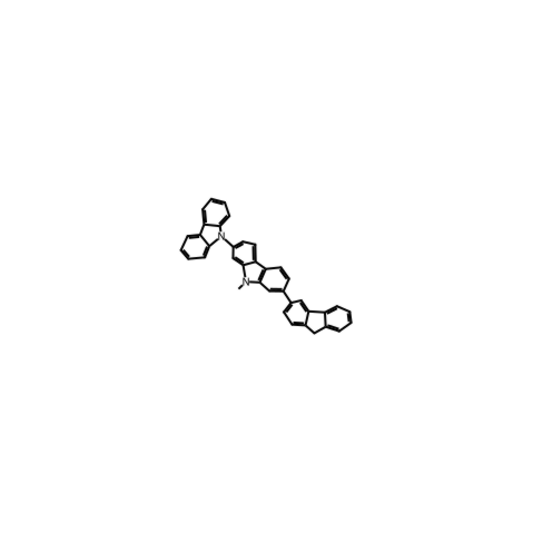 Cn1c2cc(-c3ccc4c(c3)-c3ccccc3C4)ccc2c2ccc(-n3c4ccccc4c4ccccc43)cc21